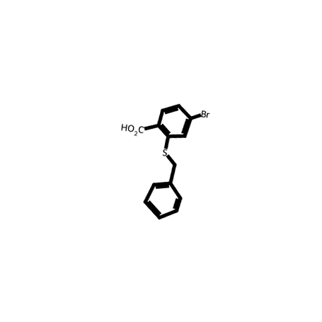 O=C(O)c1ccc(Br)cc1SCc1ccccc1